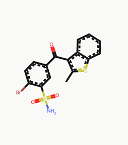 Cc1sc2ccccc2c1C(=O)c1ccc(Br)c(S(N)(=O)=O)c1